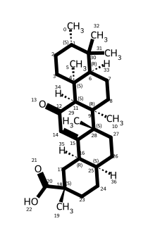 C[C@H]1CC[C@@]2(C)[C@H](CC[C@]3(C)[C@H]2C(=O)C=C2[C@@H]4C[C@@](C)(C(=O)O)CC[C@@H]4CC[C@]23C)C1(C)C